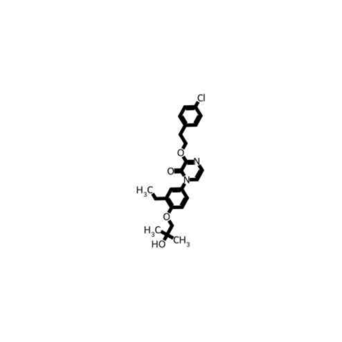 CCc1cc(-n2ccnc(OCCc3ccc(Cl)cc3)c2=O)ccc1OCC(C)(C)O